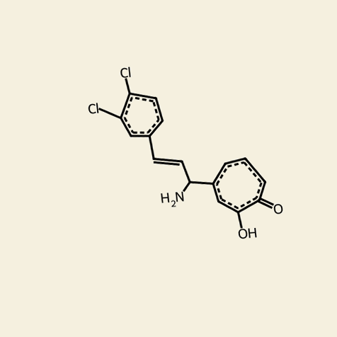 NC(C=Cc1ccc(Cl)c(Cl)c1)c1cccc(=O)c(O)c1